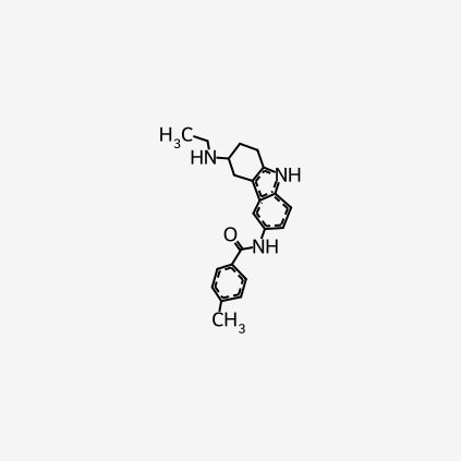 CCNC1CCc2[nH]c3ccc(NC(=O)c4ccc(C)cc4)cc3c2C1